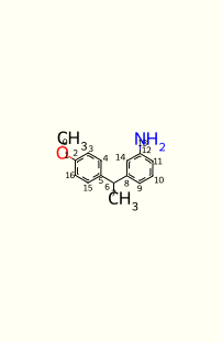 COc1ccc(C(C)c2cccc(N)c2)cc1